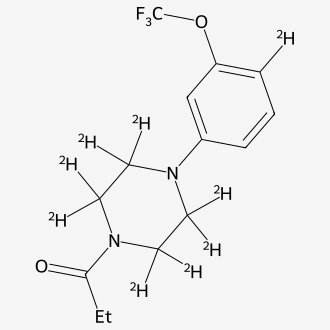 [2H]c1ccc(N2C([2H])([2H])C([2H])([2H])N(C(=O)CC)C([2H])([2H])C2([2H])[2H])cc1OC(F)(F)F